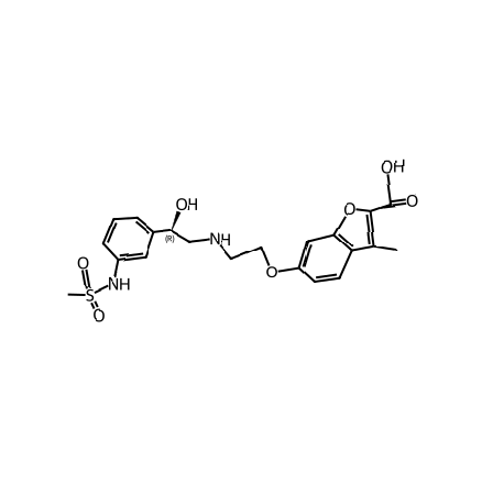 Cc1c(C(=O)O)oc2cc(OCCNC[C@H](O)c3cccc(NS(C)(=O)=O)c3)ccc12